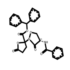 O=C1CCC(C(=O)OC(c2ccccc2)c2ccccc2)(N2OC[C@H](NC(=O)c3ccccc3)C2=O)O1